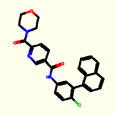 O=C(Nc1ccc(Cl)c(-c2cccc3ccccc23)c1)c1ccc(C(=O)N2CCOCC2)nc1